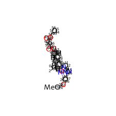 C=C(C)[C@@H]1CC[C@]2(C(=O)N3CCC[C@H]3c3ncc(-c4ccc(OCCOC)cc4)[nH]3)CC[C@]3(C)[C@H](CC[C@@H]4[C@@]5(C)CC[C@H](OC(=O)C6CC(C(=O)OCc7ccccc7)C6(C)C)C(C)(C)[C@@H]5CC[C@]43C)[C@@H]12